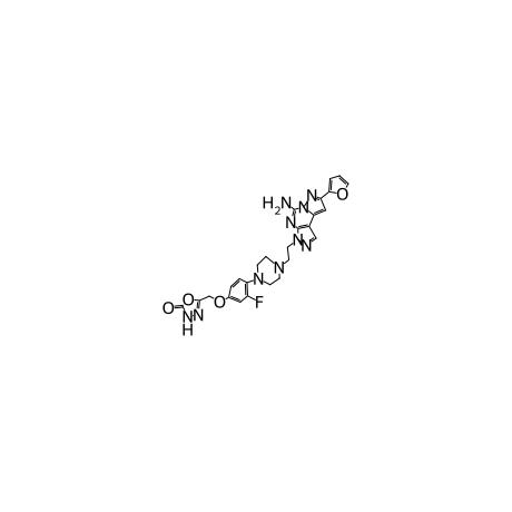 Nc1nc2c(cnn2CCN2CCN(c3ccc(OCc4n[nH]c(=O)o4)cc3F)CC2)c2cc(-c3ccco3)nn12